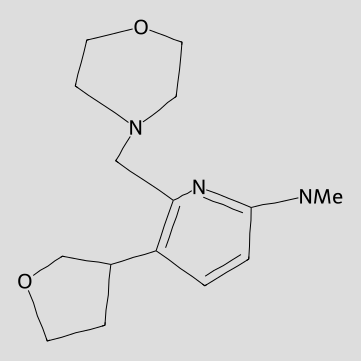 CNc1ccc(C2CCOC2)c(CN2CCOCC2)n1